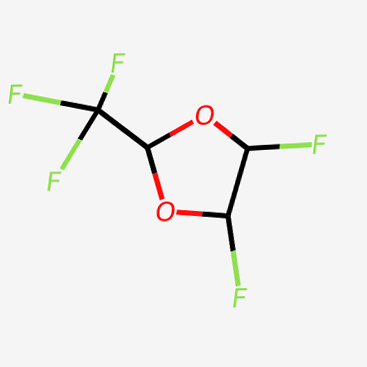 FC1OC(C(F)(F)F)OC1F